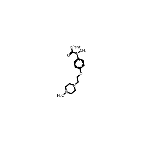 CCCCCC(=O)N(C)c1ccc(OCCN2CCN(C)CC2)cc1